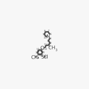 CC(CCCN1CCCCC1)CCOc1ccc(SCl)c(SCl)c1